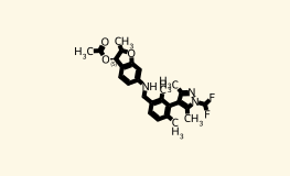 CC(=O)O[C@H]1c2ccc(NCc3ccc(C)c(-c4c(C)nn(C(F)F)c4C)c3C)cc2OC1C